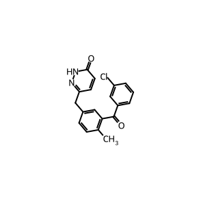 Cc1ccc(Cc2ccc(=O)[nH]n2)cc1C(=O)c1cccc(Cl)c1